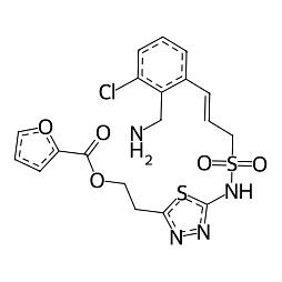 NCc1c(Cl)cccc1C=CCS(=O)(=O)Nc1nnc(CCOC(=O)c2ccco2)s1